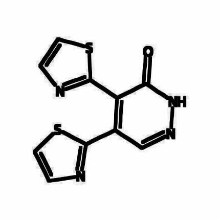 O=c1[nH]ncc(-c2nccs2)c1-c1nccs1